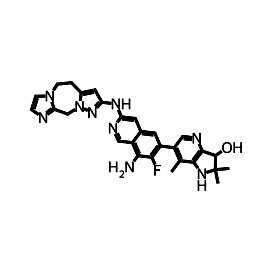 Cc1c(-c2cc3cc(Nc4cc5n(n4)Cc4nccn4CC5)ncc3c(N)c2F)cnc2c1NC(C)(C)C2O